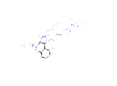 CCCCc1nc2c(N)nc3ccccc3c2n1CCCCNC(N)=O